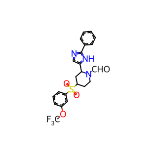 O=CN1CCC(S(=O)(=O)c2cccc(OC(F)(F)F)c2)CC1c1cnc(-c2ccccc2)[nH]1